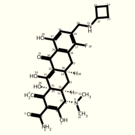 C=C1C(C(N)=O)=C(O)[C@@H](N(C)C)[C@@H]2C[C@@H]3Cc4c(F)c(CNC5CCC5)cc(O)c4C(=O)C3=C(O)[C@]12O